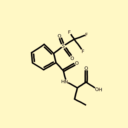 CCC(NC(=O)c1ccccc1S(=O)(=O)C(F)(F)F)C(=O)O